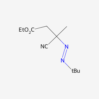 CCOC(=O)CC(C)(C#N)N=NC(C)(C)C